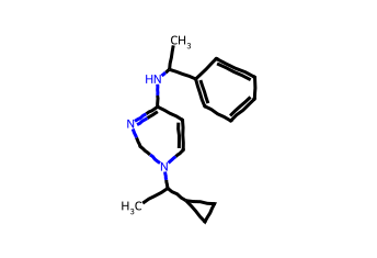 CC(NC1=NCN(C(C)C2CC2)C=C1)c1ccccc1